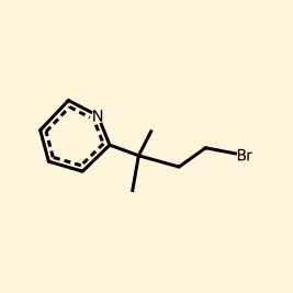 CC(C)(CCBr)c1ccccn1